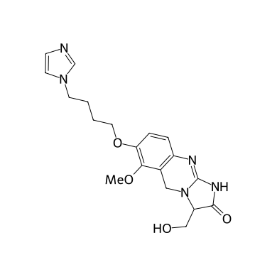 COc1c(OCCCCn2ccnc2)ccc2c1CN1C(=N2)NC(=O)C1CO